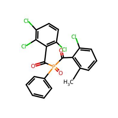 Cc1cccc(Cl)c1C(=O)P(=O)(C(=O)c1c(Cl)ccc(Cl)c1Cl)c1ccccc1